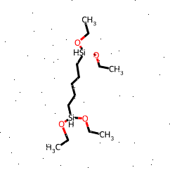 CCO[SiH](CCCCC[SiH](OCC)OCC)OCC